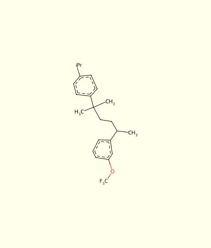 CC(C)c1ccc(C(C)(C)CCC(C)c2cccc(OC(F)(F)F)c2)cc1